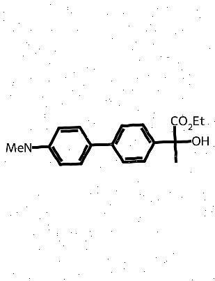 CCOC(=O)C(C)(O)c1ccc(-c2ccc(NC)cc2)cc1